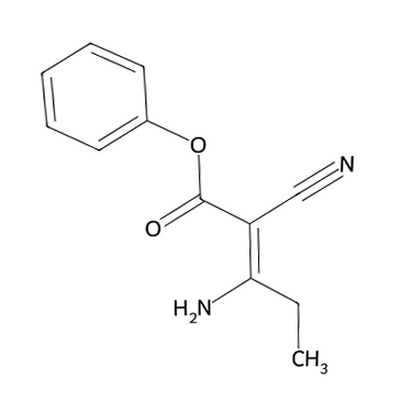 CC/C(N)=C(\C#N)C(=O)Oc1ccccc1